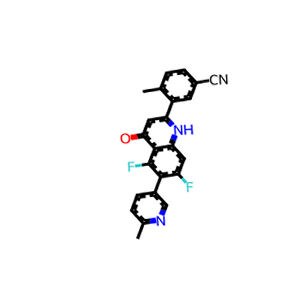 Cc1ccc(-c2c(F)cc3[nH]c(-c4cc(C#N)ccc4C)cc(=O)c3c2F)cn1